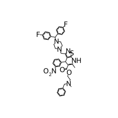 CC1=C(C(=O)OCCN(C)Cc2ccccc2)C(c2cccc([N+](=O)[O-])c2)c2c(CN3CCN(C(c4ccc(F)cc4)c4ccc(F)cc4)CC3)nsc2N1